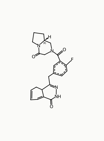 O=C1NN=C(Cc2ccc(F)c(C(=O)N3CC(=O)N4CCC[C@@H]4C3)c2)C2CC=CC=C12